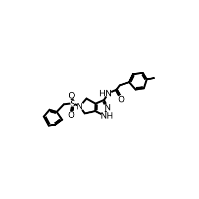 Cc1ccc(CC(=O)Nc2n[nH]c3c2CN(S(=O)(=O)Cc2ccccc2)C3)cc1